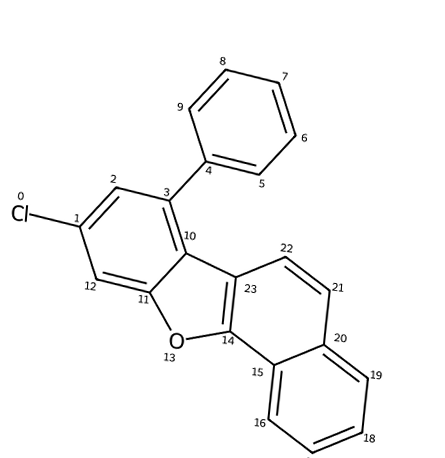 Clc1cc(-c2ccccc2)c2c(c1)oc1c3ccccc3ccc12